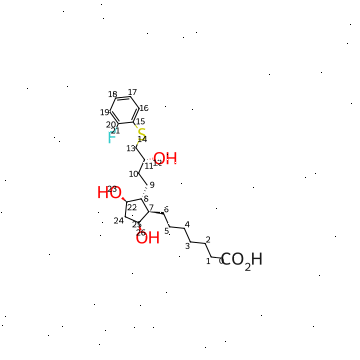 O=C(O)CCCCCC[C@@H]1[C@@H](CC[C@@H](O)CSc2ccccc2F)[C@H](O)C[C@@H]1O